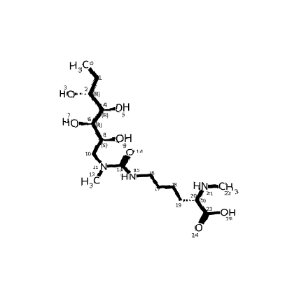 CC[C@@H](O)[C@@H](O)[C@H](O)[C@@H](O)CN(C)C(=O)NCCCC[C@H](NC)C(=O)O